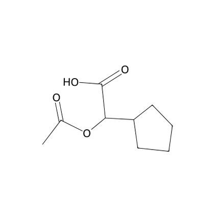 CC(=O)OC(C(=O)O)C1CCCC1